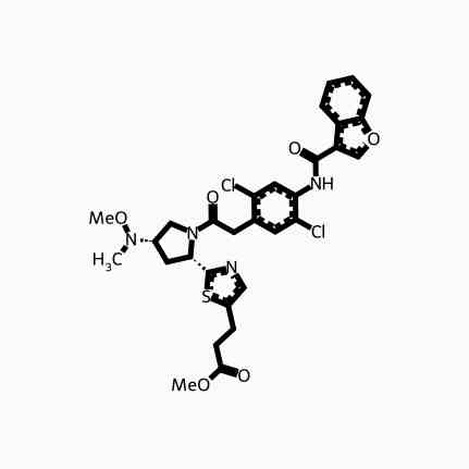 COC(=O)CCc1cnc([C@@H]2C[C@H](N(C)OC)CN2C(=O)Cc2cc(Cl)c(NC(=O)c3coc4ccccc34)cc2Cl)s1